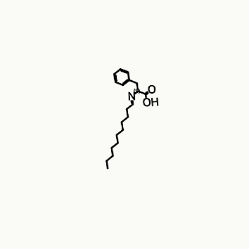 CCCCCCCCCCC=N[C@@H](Cc1ccccc1)C(=O)O